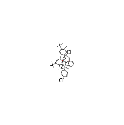 [CH2]=[Zr]([C]1=CC=CC1)([c]1ccc(Cl)cc1)([c]1ccc(Cl)cc1)[c]1c(C)c(C(C)(C)C)cc2c1Cc1cc(C)c(C(C)(C)C)cc1-2